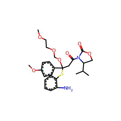 COCCOCOC(CC(=O)N1C(=O)OCC1C(C)C)(Sc1ccccc1N)c1ccc(OC)cc1